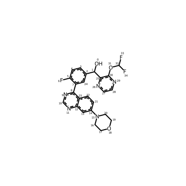 OC(c1ccc(F)c(-c2ncnc3cc(N4CCOCC4)ccc23)c1)c1nccnc1OC(F)F